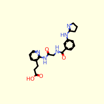 O=C(O)CCc1cccnc1NC(=O)CNC(=O)c1cccc(NC2=NCCC2)c1